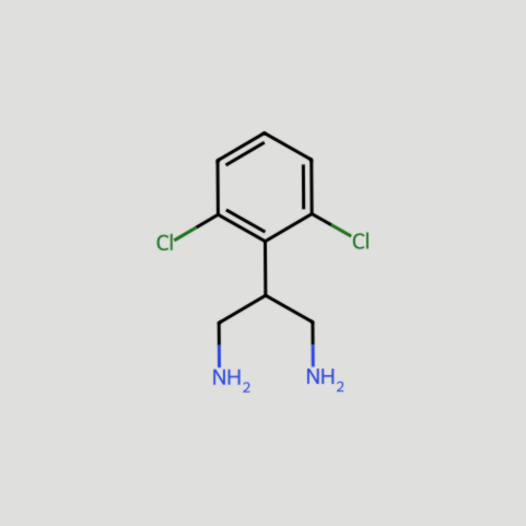 NCC(CN)c1c(Cl)cccc1Cl